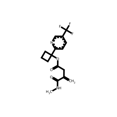 C=C(CC(=O)OC1(c2ccc(C(F)(F)F)cn2)CCC1)C(=O)NC